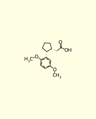 COc1ccc(OC)c([C@@H]2CCC[C@@H]2CC(=O)O)c1